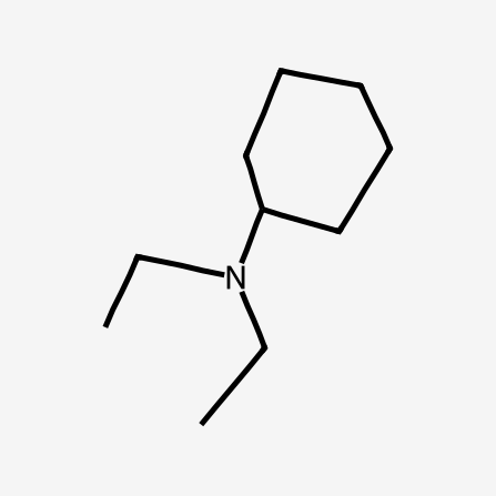 CCN(CC)C1CCCCC1